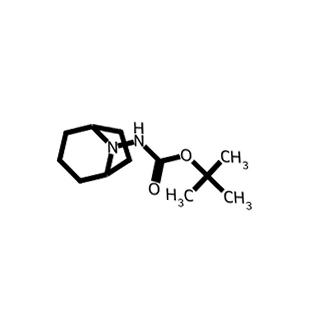 CC(C)(C)OC(=O)NN1C2CCCC1CC2